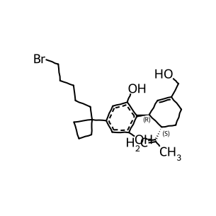 C=C(C)[C@H]1CCC(CO)=C[C@@H]1c1c(O)cc(C2(CCCCCBr)CCC2)cc1O